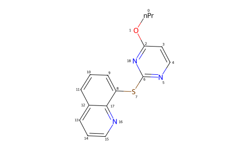 CCCOc1ccnc(Sc2cccc3cccnc23)n1